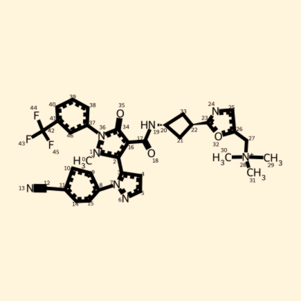 Cn1c(-c2ccnn2-c2ccc(C#N)cc2)c(C(=O)N[C@H]2C[C@H](c3ncc(C[N+](C)(C)C)o3)C2)c(=O)n1-c1cccc(C(F)(F)F)c1